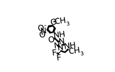 COc1cc(NC(=O)c2nc3n(n2)[C@H](C(F)F)C[C@H](C)N3)cc([N+](=O)[O-])c1